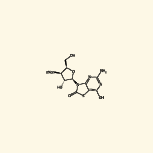 CCCCCCCCC[C@@H]1[C@@H](O)[C@H](n2c(=O)sc3c(O)nc(N)nc32)O[C@@H]1CO